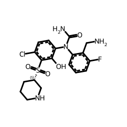 NCc1c(F)cccc1N(C(N)=O)c1ccc(Cl)c(S(=O)(=O)[C@H]2CCCNC2)c1O